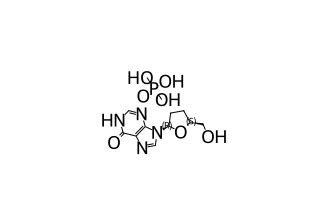 O=P(O)(O)O.O=c1[nH]cnc2c1ncn2[C@H]1CC[C@@H](CO)O1